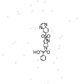 O=C([C@H](CO)c1ccccc1)N1Cc2cn(S(=O)(=O)c3ccc4nccnc4c3)nc2C1